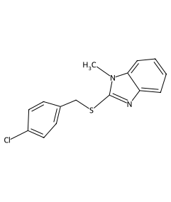 Cn1c(SCc2ccc(Cl)cc2)nc2ccccc21